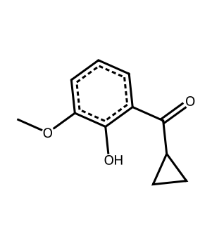 COc1cccc(C(=O)C2CC2)c1O